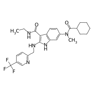 CCNC(=O)c1c(NCc2ccc(C(F)(F)F)cn2)[nH]c2cc(N(C)C(=O)C3CCCCC3)ccc12